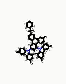 Cc1ccc2c(c1)c1cc(C(C)(C)c3ccccc3)ccc1c1cc3c4c(c21)-n1c2ccc(C)cc2c2cc(C)cc(c21)B4c1cc(C)cc2c4cc(C)ccc4n-3c12